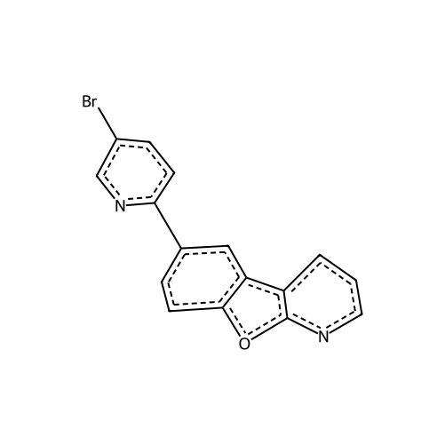 Brc1ccc(-c2ccc3oc4ncccc4c3c2)nc1